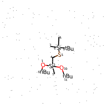 CCCCO[Si](C)(CS[Si](C)(C)C(C)(C)C)OCCCC